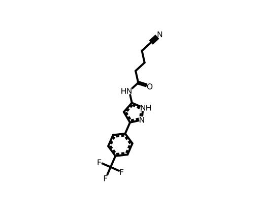 N#CCCCC(=O)Nc1cc(-c2ccc(C(F)(F)F)cc2)n[nH]1